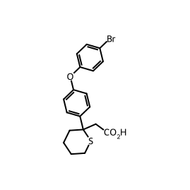 O=C(O)CC1(c2ccc(Oc3ccc(Br)cc3)cc2)CCCCS1